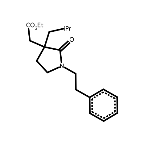 CCOC(=O)CC1(CC(C)C)CCN(CCc2ccccc2)C1=O